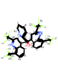 OC(c1ccccn1)(c1cc(C(F)(F)F)nc2c(C(F)(F)F)cccc12)c1cc(C(F)(F)F)nc2c(C(F)(F)F)cccc12